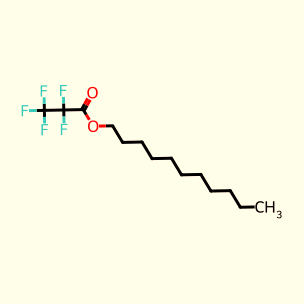 CCCCCCCCCCCOC(=O)C(F)(F)C(F)(F)F